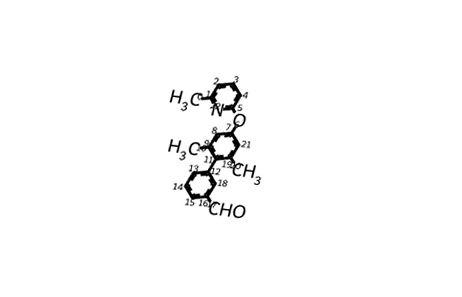 Cc1cccc(Oc2cc(C)c(-c3cccc(C=O)c3)c(C)c2)n1